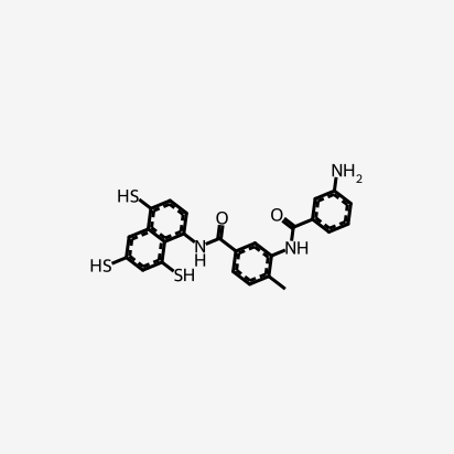 Cc1ccc(C(=O)Nc2ccc(S)c3cc(S)cc(S)c23)cc1NC(=O)c1cccc(N)c1